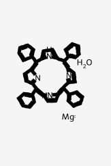 C1=Cc2nc1c(-c1ccccc1)c1ccc([nH]1)c(-c1ccccc1)c1nc(c(-c3ccccc3)c3ccc([nH]3)c2-c2ccccc2)C=C1.O.[Mg]